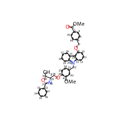 COC(=O)c1ccc(COc2cccc3c2c2ccccc2n3Cc2ccc(OCC3N=C(c4ccccc4)OC3C)c(OC)c2)cc1